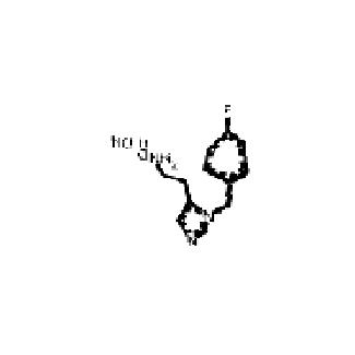 Cl.Cl.NCCc1cncn1Cc1ccc(F)cc1